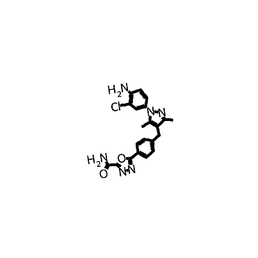 Cc1nn(-c2ccc(N)c(Cl)c2)c(C)c1Cc1ccc(-c2nnc(C(N)=O)o2)cc1